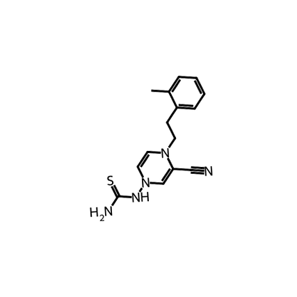 Cc1ccccc1CCN1C=CN(NC(N)=S)C=C1C#N